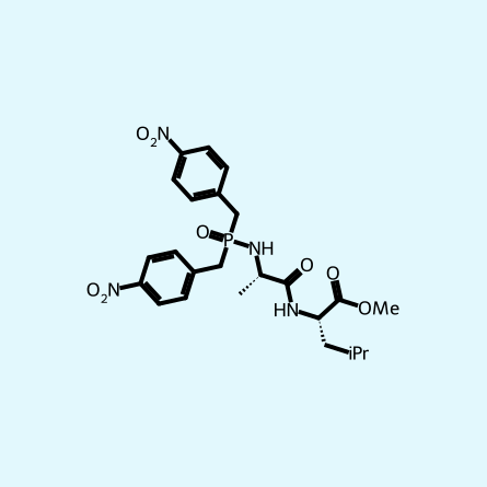 COC(=O)[C@H](CC(C)C)NC(=O)[C@H](C)NP(=O)(Cc1ccc([N+](=O)[O-])cc1)Cc1ccc([N+](=O)[O-])cc1